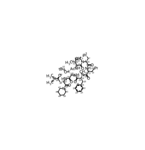 CC(=O)N[C@H](C(=O)N(C)[C@@H](CC(C)C)C(=O)N[C@@H](CC(C)C)C(=O)N(C)[C@@H](Cc1ccccc1)C(=O)N[C@@H](COC(C)(C)C)C(=O)N[C@@H](CC(=O)N(C)C)C(=O)N1CCCCC1)[C@@H](C)O